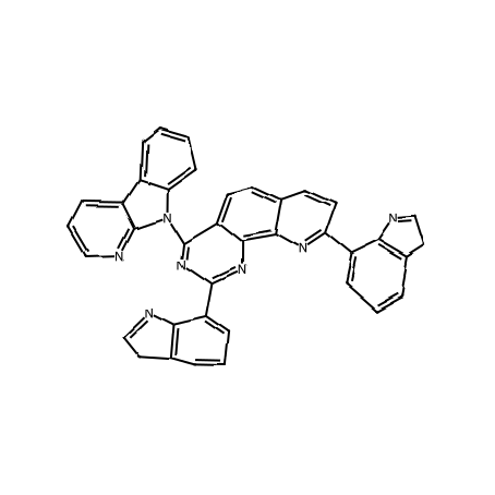 C1=Nc2c(cccc2-c2ccc3ccc4c(-n5c6ccccc6c6cccnc65)nc(-c5cccc6c5N=CC6)nc4c3n2)C1